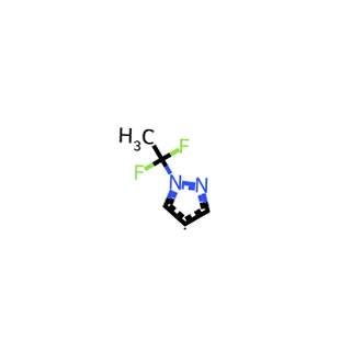 CC(F)(F)n1c[c]cn1